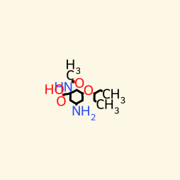 CCC(CC)OC1CC(N)CC(NC(C)=O)(C(=O)O)C1